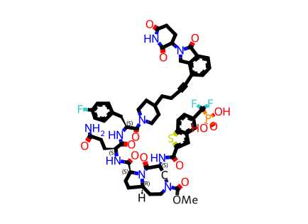 COC(=O)N1CC[C@H]2CC[C@@H](C(=O)N[C@@H](CCC(N)=O)C(=O)N[C@@H](Cc3ccc(F)cc3)C(=O)N3CCC(CCC#Cc4cccc5c4CN(C4CCC(=O)NC4=O)C5=O)CC3)N2C(=O)[C@@H](NC(=O)c2cc3cc(C(F)(F)P(=O)(O)O)ccc3s2)C1